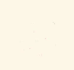 O=C(O)[C@H](O)[C@@H](O)[C@H](O)[C@H](O)CO.O=C([O-])[C@H](O)[C@@H](O)[C@H](O)[C@H](O)CO.[Na+]